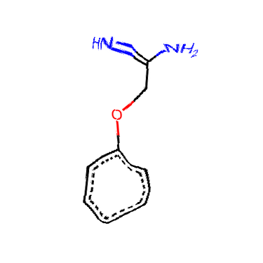 N=C(N)COc1ccccc1